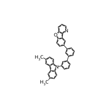 Cc1ccc2c(c1)c1cc(C)ccc1n2-c1cccc(-c2cccc(-c3ccc4oc5cccnc5c4c3)c2)c1